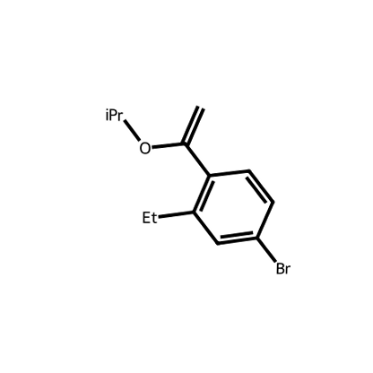 C=C(OC(C)C)c1ccc(Br)cc1CC